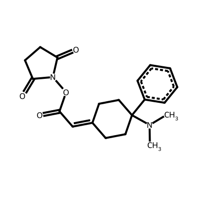 CN(C)C1(c2ccccc2)CCC(=CC(=O)ON2C(=O)CCC2=O)CC1